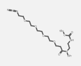 CCCN(CCNC(=O)OC(C)(C)C)C(=O)CCOCCOCCOCCOCCN=[N+]=[N-]